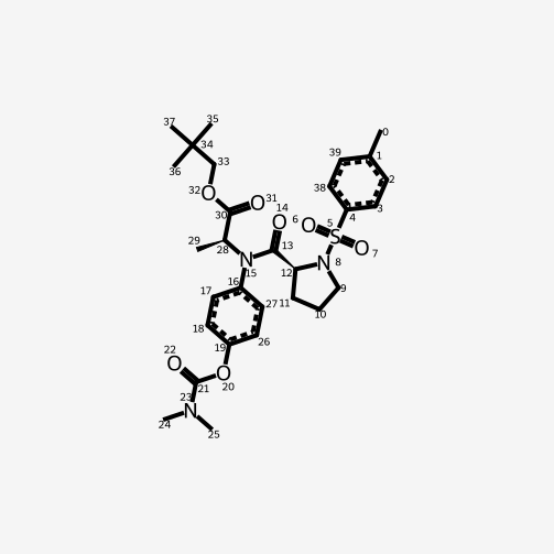 Cc1ccc(S(=O)(=O)N2CCC[C@H]2C(=O)N(c2ccc(OC(=O)N(C)C)cc2)[C@@H](C)C(=O)OCC(C)(C)C)cc1